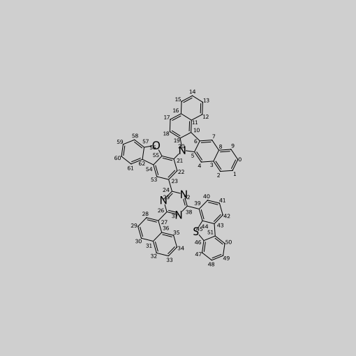 c1ccc2cc3c(cc2c1)c1c2ccccc2ccc1n3-c1cc(-c2nc(-c3cccc4ccccc34)nc(-c3cccc4c3sc3ccccc34)n2)cc2c1oc1ccccc12